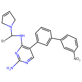 CCC(Nc1nc(N)ncc1-c1cccc(-c2cccc([N+](=O)[O-])c2)c1)N1CC=CC1